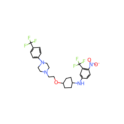 O=[N+]([O-])c1ccc(NC2CCC(OCCN3CCN(c4ccc(C(F)(F)F)cc4)CC3)CC2)cc1C(F)(F)F